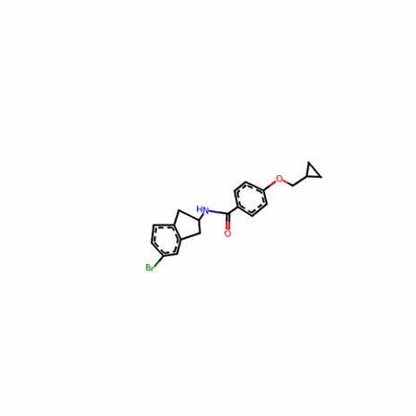 O=C(NC1Cc2ccc(Br)cc2C1)c1ccc(OCC2CC2)cc1